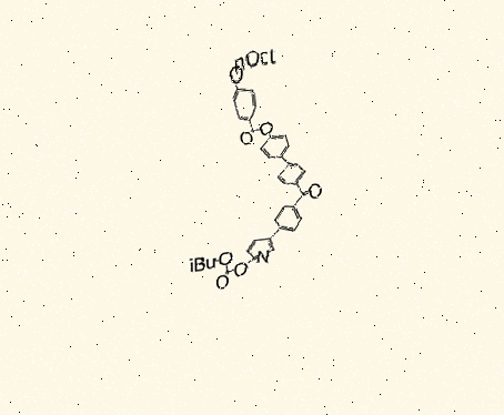 CCCCCCCCOc1ccc(C(=O)Oc2ccc(-c3ccc(C(=O)c4ccc(-c5ccc(OC(=O)OC(C)CC)nc5)cc4)cc3)cc2)cc1